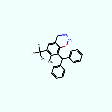 Cc1c(C(C)(C)C)cc(CN)c(ON)c1C(c1ccccc1)c1ccccc1